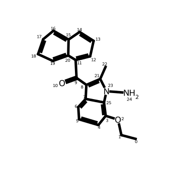 CCOc1cccc2c(C(=O)c3cccc4ccccc34)c(C)n(N)c12